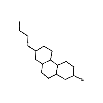 CCCCC1CCC2C(CCC3CC(Br)CCC32)C1